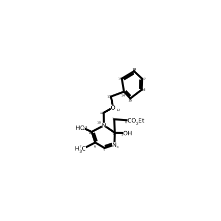 CCOC(=O)CC1(O)N=CC(C)=C(O)N1COCc1ccccc1